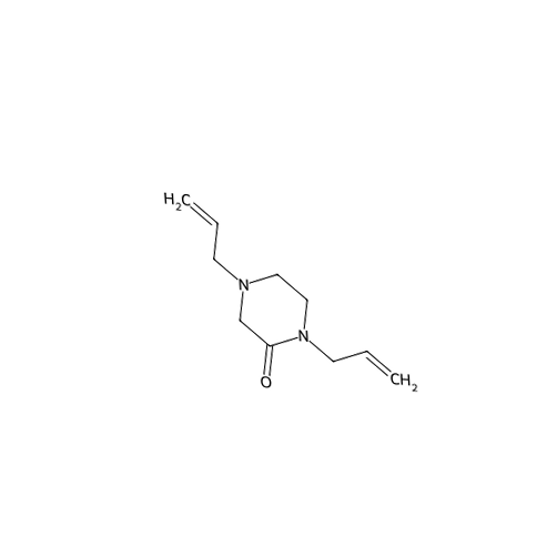 C=CCN1CCN(CC=C)C(=O)C1